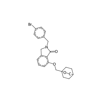 O=C1c2c(cccc2OCC23CCC(CC2)CO3)CN1Cc1ccc(Br)cc1